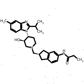 CCC(=O)Nc1ccc2c(c1)C[C@H](CN1CC[C@@H](n3c(C(C)C)nc4cc(C)ccc43)[C@H](O)C1)C2